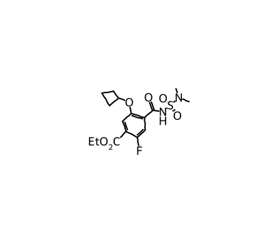 CCOC(=O)c1cc(OC2CCC2)c(C(=O)NS(=O)(=O)N(C)C)cc1F